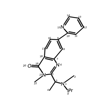 CC(C)N(C)C(C)c1nc2cc(-c3ccccn3)ccc2c(=O)n1C